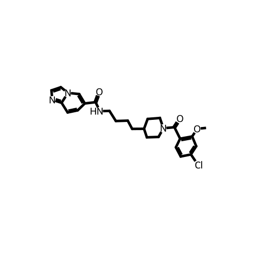 COc1cc(Cl)ccc1C(=O)N1CCC(CCCCNC(=O)c2ccc3nccn3c2)CC1